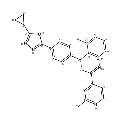 Cc1cc(/C(C[C@H](c2ccc(-c3nnc(C4CC4)o3)cc2)c2ccccc2C)=N/O)ccn1